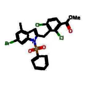 COC(=O)c1ccc(Cl)c(Cc2cc3c(C)cc(Br)cc3n2S(=O)(=O)c2ccccc2)c1Cl